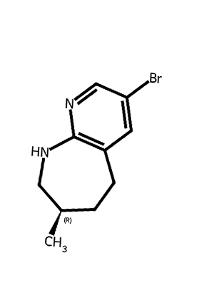 C[C@@H]1CCc2cc(Br)cnc2NC1